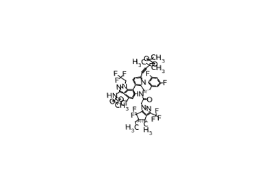 CC[C@@H]1[C@H](C)c2c(C(F)(F)F)nn(CC(=O)N[C@@H](Cc3cc(F)cc(F)c3)c3nc(C#CC(C)(C)S(C)(=O)=O)ccc3-c3ccc(Cl)c4c(NS(C)(=O)=O)nn(CC(F)(F)F)c34)c2C1(F)F